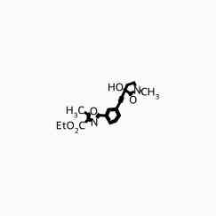 CCOC(=O)c1nc(-c2cccc(C#C[C@]3(O)CCN(C)C3=O)c2)oc1C